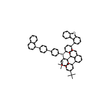 CC(C)(C)c1cc(-c2cccc3cccc(-c4ccccc4N(c4ccc(-c5ccc(-c6cccc7ccccc67)cc5)cc4)c4ccc(-c5cccc6oc7ccccc7c56)cc4)c23)cc(C(C)(C)C)c1